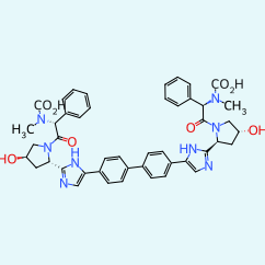 CN(C(=O)O)[C@@H](C(=O)N1C[C@H](O)C[C@H]1c1ncc(-c2ccc(-c3ccc(-c4cnc([C@@H]5C[C@@H](O)CN5C(=O)[C@@H](c5ccccc5)N(C)C(=O)O)[nH]4)cc3)cc2)[nH]1)c1ccccc1